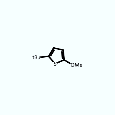 COc1ccc(C(C)(C)C)s1